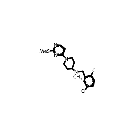 CSc1nccc(N2CCC(N(C)Cc3cc(Cl)ccc3Cl)CC2)n1